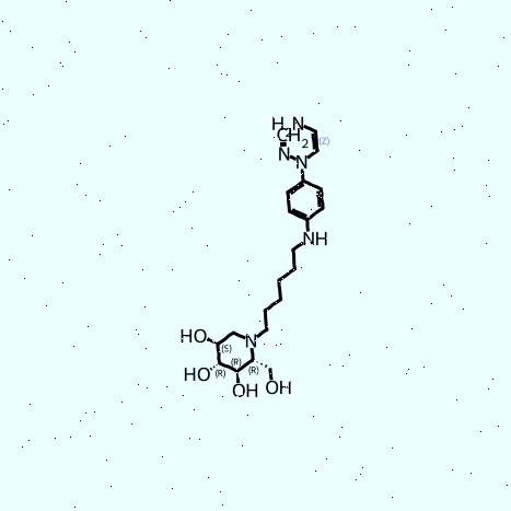 C=NN(/C=C\N)c1ccc(NCCCCCCN2C[C@H](O)[C@@H](O)[C@H](O)[C@H]2CO)cc1